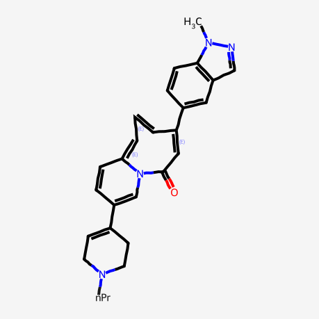 CCCN1CC=C(C2=CN3C(=O)\C=C(c4ccc5c(cnn5C)c4)/C=C/C=C/3C=C2)CC1